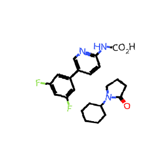 O=C(O)Nc1ccc(-c2cc(F)cc(F)c2)cn1.O=C1CCCN1C1CCCCC1